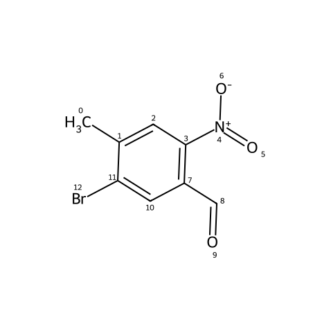 Cc1cc([N+](=O)[O-])c(C=O)cc1Br